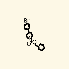 O=C(OCc1ccccc1)N1CCC(c2ccc(Br)cc2)CC1